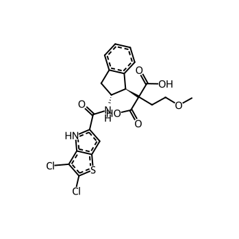 COCCC(C(=O)O)(C(=O)O)[C@@H]1c2ccccc2C[C@H]1NC(=O)c1cc2sc(Cl)c(Cl)c2[nH]1